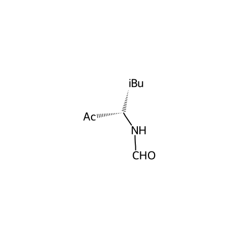 CC[C@@H](C)[C@H](NC=O)C(C)=O